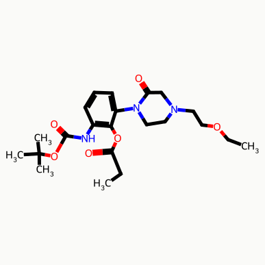 CCOCCN1CCN(c2cccc(NC(=O)OC(C)(C)C)c2OC(=O)CC)C(=O)C1